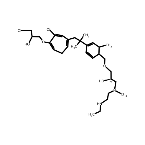 CCNCCN(C)C[C@@H](O)COCC1C=CC(C(C)(C)CC2=CCC=C(OCC(O)CCl)C(Cl)=C2)=CC1C